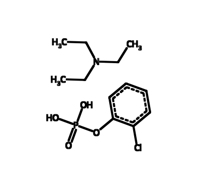 CCN(CC)CC.O=P(O)(O)Oc1ccccc1Cl